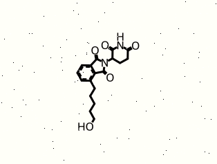 O=C1CCC(N2C(=O)c3cccc(CCCCCO)c3C2=O)C(=O)N1